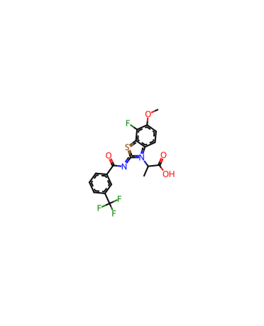 COc1ccc2c(sc(=NC(=O)c3cccc(C(F)(F)F)c3)n2C(C)C(=O)O)c1F